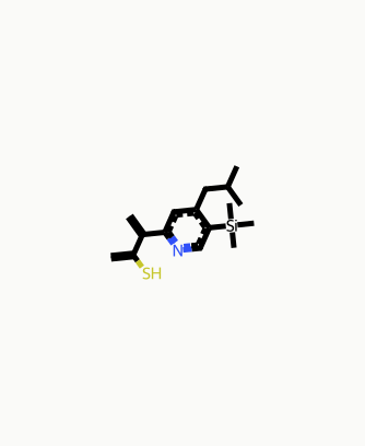 C=C(S)C(=C)c1cc(CC(C)C)c([Si](C)(C)C)cn1